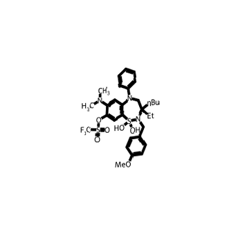 CCCCC1(CC)CN(c2ccccc2)c2cc(N(C)C)c(OS(=O)(=O)C(F)(F)F)cc2S(O)(O)N1Cc1ccc(OC)cc1